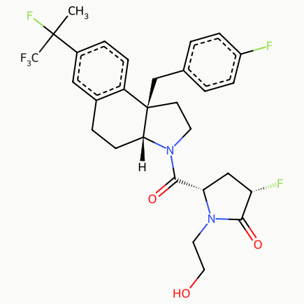 CC(F)(c1ccc2c(c1)CC[C@H]1N(C(=O)[C@@H]3C[C@H](F)C(=O)N3CCO)CC[C@@]21Cc1ccc(F)cc1)C(F)(F)F